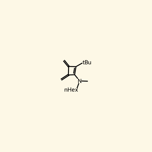 C=C1C(=C)C(C(C)(C)C)=C1N(C)CCCCCC